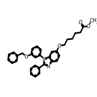 COC(=O)CCCCCOc1ccc2nc(-c3ccccc3)n(-c3cccc(OCc4ccccc4)c3)c2c1